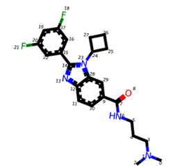 CN(C)CCCNC(=O)c1ccc2nc(-c3cc(F)cc(F)c3)n(C3CCC3)c2c1